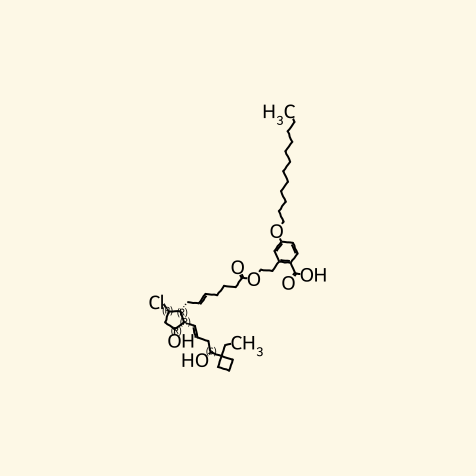 CCCCCCCCCCCCOc1ccc(C(=O)O)c(CCOC(=O)CCCC=CC[C@@H]2[C@@H](C=CC[C@H](O)C3(CC)CCC3)[C@H](O)C[C@H]2Cl)c1